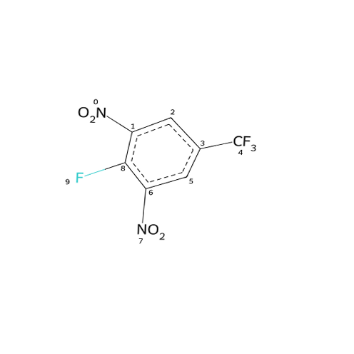 O=[N+]([O-])c1cc(C(F)(F)F)cc([N+](=O)[O-])c1F